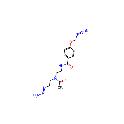 [N-]=[N+]=NCOc1ccc(C(=O)NCCN(CCN=NN)C(=O)C(F)(F)F)cc1